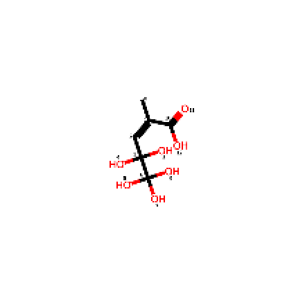 CC(=CC(O)(O)C(O)(O)O)C(=O)O